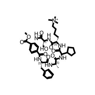 COC(=O)c1ccc(C(=O)N[C@@H](Cc2ccccc2)C(=O)N[C@@H](C)C(=O)NC(C(=O)N[C@@H](CCCC[N+](C)(C)C)C(=O)N[C@H](CO)C(N)=O)C2CCCC2)cc1